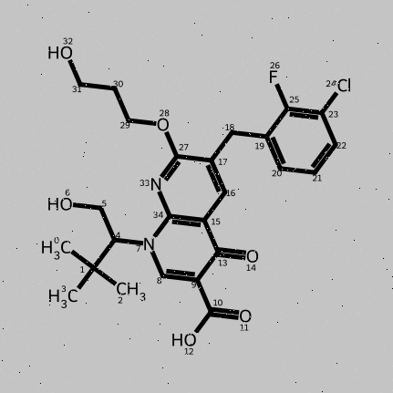 CC(C)(C)C(CO)n1cc(C(=O)O)c(=O)c2cc(Cc3cccc(Cl)c3F)c(OCCCO)nc21